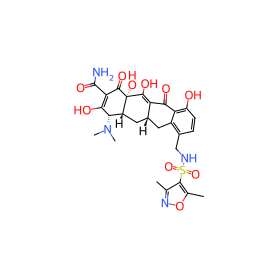 Cc1noc(C)c1S(=O)(=O)NCc1ccc(O)c2c1C[C@@H]1C[C@@H]3[C@H](N(C)C)C(O)=C(C(N)=O)C(=O)[C@@]3(O)C(O)=C1C2=O